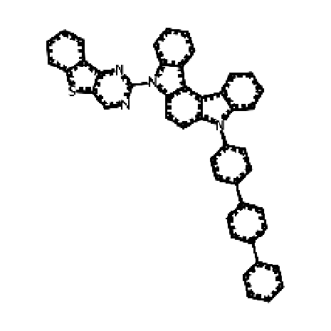 c1ccc(-c2ccc(-c3ccc(-n4c5ccccc5c5c6c7ccccc7n(-c7ncc8sc9ccccc9c8n7)c6ccc54)cc3)cc2)cc1